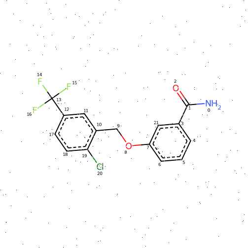 NC(=O)c1cccc(OCc2cc(C(F)(F)F)ccc2Cl)c1